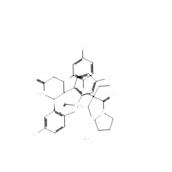 CCC(CC)(Oc1ccc(Cl)cc1[C@@H]1CC(=O)N[C@H](c2cc(F)ccc2C)[C@@]12C(=O)Nc1cc(Cl)ccc12)C(=O)N1CC[C@H](O)C1